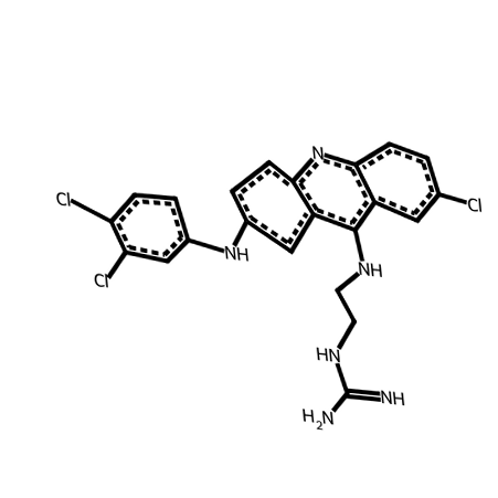 N=C(N)NCCNc1c2cc(Cl)ccc2nc2ccc(Nc3ccc(Cl)c(Cl)c3)cc12